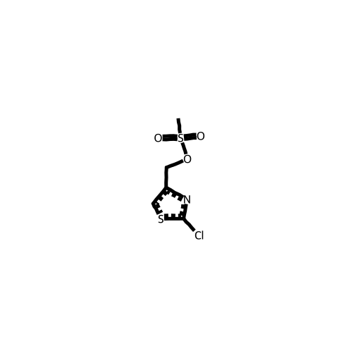 CS(=O)(=O)OCc1csc(Cl)n1